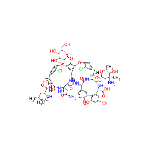 CN[C@H](CC(C)C)C(=O)N[C@H]1C(=O)N[C@@H](CC(N)=O)C(=O)N[C@H]2C(=O)N[C@H]3C(=O)N[C@H](C(=O)N[C@H](C(=O)O)c4cc(O)cc(O)c4-c4cc3ccc4O)[C@H](OC3CC(C)(N)C(O)C(C)O3)c3ccc(c(Cl)c3)Oc3cc2cc(c3OC2OC(CO)C(O)C(O)C2O)Oc2ccc(cc2Cl)[C@H]1O